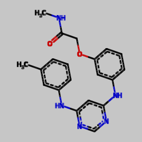 CNC(=O)COc1cccc(Nc2cc(Nc3cccc(C)c3)ncn2)c1